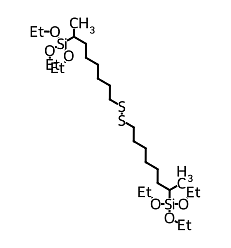 CCO[Si](OCC)(OCC)C(C)CCCCCCSSCCCCCCC(C)[Si](OCC)(OCC)OCC